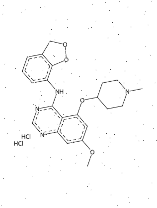 COc1cc(OC2CCN(C)CC2)c2c(Nc3cccc4c3OOC4)ncnc2c1.Cl.Cl